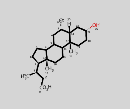 CC[C@H]1CC2C3CC[C@H]([C@H](C)CC(=O)O)[C@@]3(C)CCC2[C@@]2(C)CC[C@@H](O)C[C@@H]12